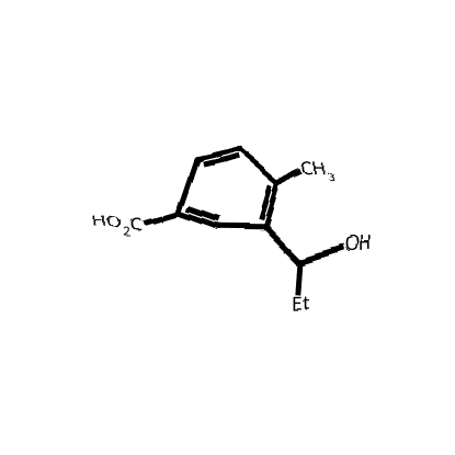 CCC(O)c1cc(C(=O)O)ccc1C